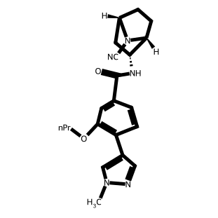 CCCOc1cc(C(=O)N[C@@H]2C[C@@H]3CC[C@H]2N3C#N)ccc1-c1cnn(C)c1